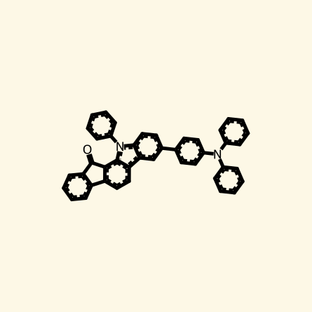 O=C1c2ccccc2-c2ccc3c4cc(-c5ccc(N(c6ccccc6)c6ccccc6)cc5)ccc4n(-c4ccccc4)c3c21